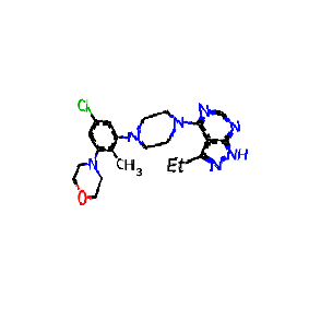 CCc1n[nH]c2ncnc(N3CCN(c4cc(Cl)cc(N5CCOCC5)c4C)CC3)c12